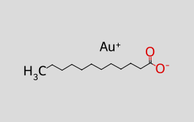 CCCCCCCCCCCC(=O)[O-].[Au+]